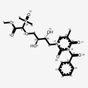 COC(=O)C(OC[C@H](O)[C@H](O)Cn1cc(C)c(=O)n(C(=O)c2ccccc2)c1=O)P(C)(C)=O